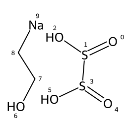 O=S(O)S(=O)O.OC[CH2][Na]